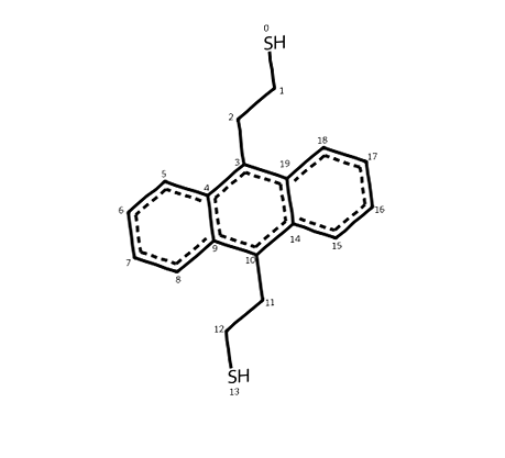 SCCc1c2ccccc2c(CCS)c2ccccc12